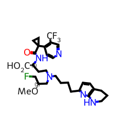 CO[C@H](CF)CN(CCCCc1ccc2c(n1)NCCC2)CC[C@H](NC(=O)C1(c2ccncc2C(F)(F)F)CC1)C(=O)O